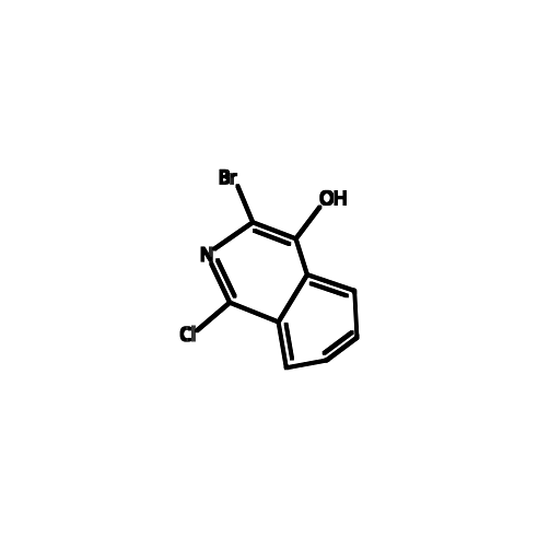 Oc1c(Br)nc(Cl)c2ccccc12